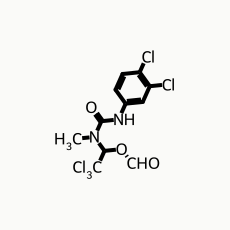 CN(C(=O)Nc1ccc(Cl)c(Cl)c1)C(OC=O)C(Cl)(Cl)Cl